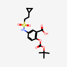 CC(C)(C)OC(=O)Oc1ccc(NS(=O)(=O)CCC2CC2)cc1C(=O)O